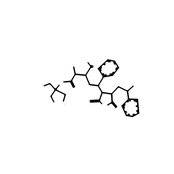 CC(CC1C(=O)OC(=O)C1C(CC(C(=O)O)C(C)C(=O)NC(CO)(CO)CO)c1ccccc1)c1ccccc1